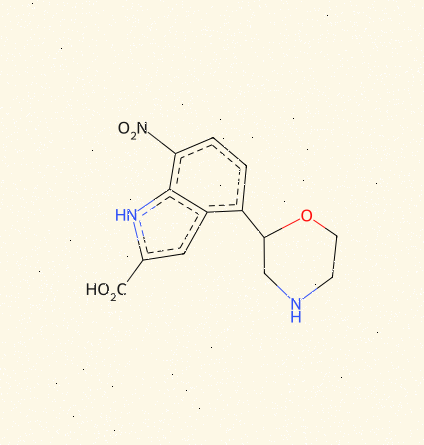 O=C(O)c1cc2c(C3CNCCO3)ccc([N+](=O)[O-])c2[nH]1